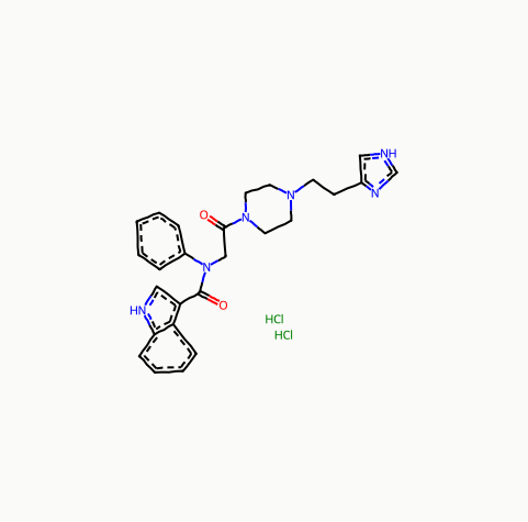 Cl.Cl.O=C(CN(C(=O)c1c[nH]c2ccccc12)c1ccccc1)N1CCN(CCc2c[nH]cn2)CC1